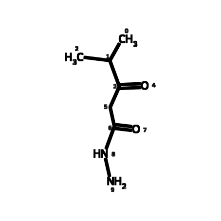 CC(C)C(=O)CC(=O)NN